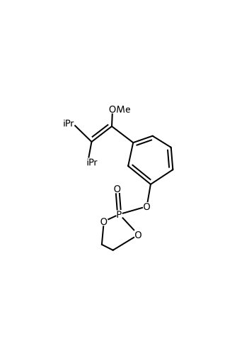 COC(=C(C(C)C)C(C)C)c1cccc(OP2(=O)OCCO2)c1